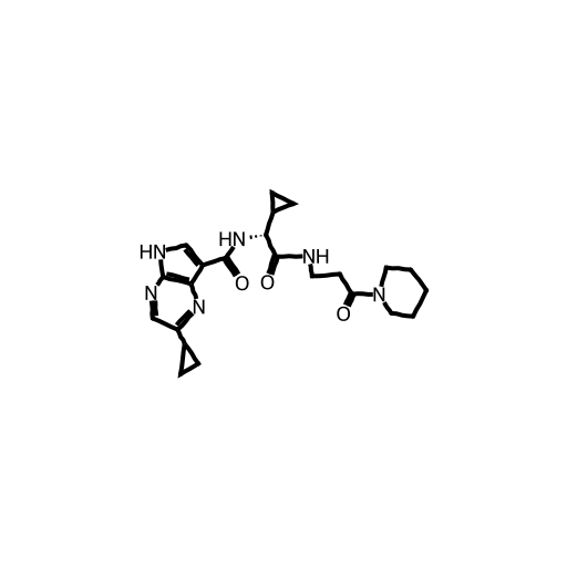 O=C(N[C@@H](C(=O)NCCC(=O)N1CCCCC1)C1CC1)c1c[nH]c2ncc(C3CC3)nc12